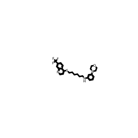 FC(F)(F)c1ccc2c(SCCCCCCNc3cccc(N4CCOCC4)c3)ccnc2c1